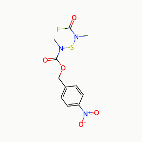 CN(SN(C)C(=O)OCc1ccc([N+](=O)[O-])cc1)C(=O)F